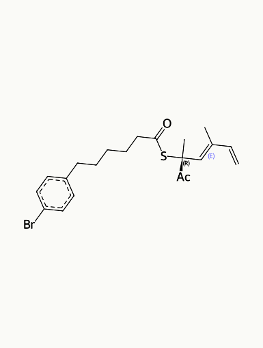 C=C/C(C)=C/[C@@](C)(SC(=O)CCCCCc1ccc(Br)cc1)C(C)=O